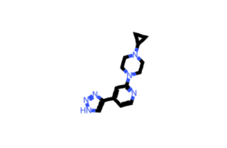 c1cc(-c2c[nH]nn2)cc(N2CCN(C3CC3)CC2)n1